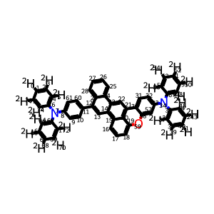 [2H]c1c([2H])c([2H])c(N(c2ccc(-c3cc4c5cccc6c5c(cc4c4ccccc34)-c3ccc(N(c4c([2H])c([2H])c([2H])c([2H])c4[2H])c4c([2H])c([2H])c([2H])c([2H])c4[2H])cc3O6)cc2)c2c([2H])c([2H])c([2H])c([2H])c2[2H])c([2H])c1[2H]